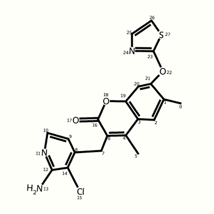 Cc1cc2c(C)c(Cc3ccnc(N)c3Cl)c(=O)oc2cc1Oc1nccs1